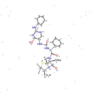 CO[C@@]1(NC(=O)C(NC(=O)Nc2cnc(Nc3ccccc3)nc2O)c2ccccc2)C(=O)N2[C@@H](C(=O)O)C(C)(C)S[C@@H]21